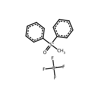 C[S+](=O)(c1ccccc1)c1ccccc1.F[B-](F)(F)F